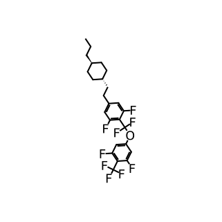 CCC[C@H]1CC[C@H](CCc2cc(F)c(C(F)(F)Oc3cc(F)c(C(F)(F)F)c(F)c3)c(F)c2)CC1